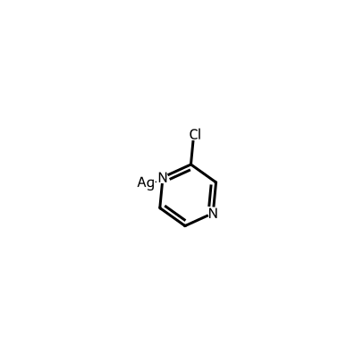 Clc1cnccn1.[Ag]